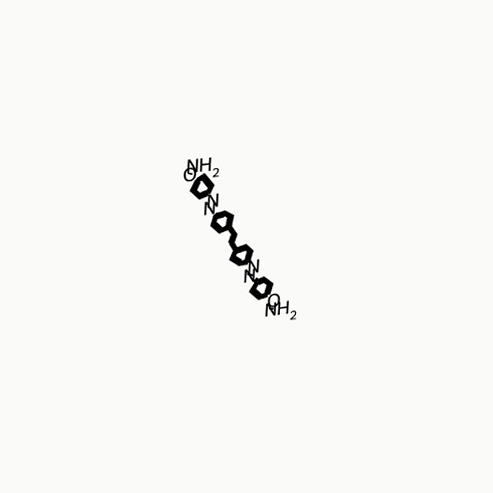 NOc1ccc(/N=N/c2ccc(/C=C/c3ccc(/N=N/c4ccc(ON)cc4)cc3)cc2)cc1